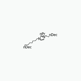 CCCCCCCCCCCCCCCCCn1cc[n+](CCCCCCCCCCCC)c1CCC